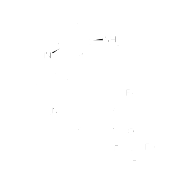 N[C@@H]1CC[C@H](Nc2ccnc(-c3ccc(OC(F)(F)F)c(F)c3)c2)C1